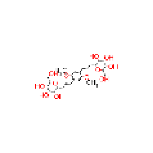 COc1cc(/C=C/C[C@H]2O[C@H](CO)[C@@H](O)[C@H](O)[C@@H]2O)c(OC)cc1/C=C/C[C@H]1O[C@H](CO)[C@@H](O)[C@H](O)[C@@H]1O